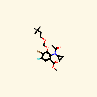 COC(=O)c1cc(F)c(Br)c(OCOCC[Si](C)(C)C)c1N(C(C)=O)C1CC1